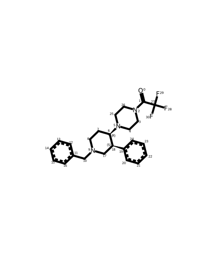 O=C(N1CCN([C@@H]2CCN(Cc3ccccc3)C[C@@H]2c2ccccc2)CC1)C(F)(F)F